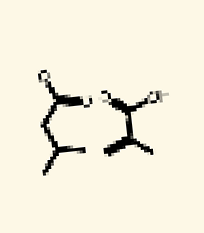 C=C(C)C(=O)O.CC(C)CC(=O)O